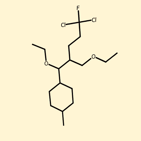 CCOCC(CCC(F)(Cl)Cl)C(OCC)C1CCC(C)CC1